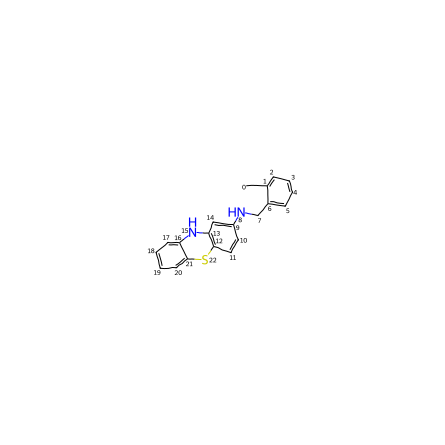 Cc1ccccc1CNc1ccc2c(c1)Nc1ccccc1S2